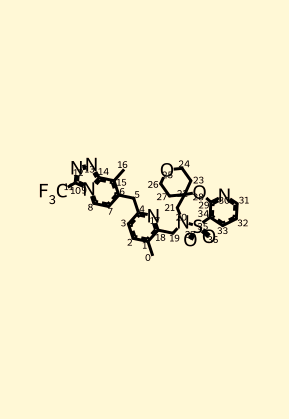 Cc1ccc(Cc2ccn3c(C(F)(F)F)nnc3c2C)nc1CN1CC2(CCOCC2)Oc2ncccc2S1(=O)=O